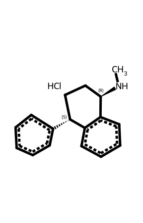 CN[C@@H]1CC[C@@H](c2ccccc2)c2ccccc21.Cl